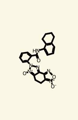 O=C(Nc1cccc2c1CCCC2)c1ccccc1-n1nc2c([n+]1[O-])CCc1c-2no[n+]1[O-]